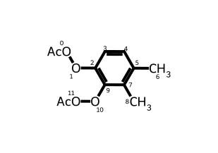 CC(=O)OOc1ccc(C)c(C)c1OOC(C)=O